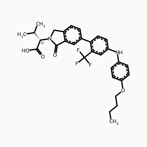 CCCCOc1ccc(Nc2ccc(-c3ccc4c(c3)C(=O)N([C@H](C(=O)O)C(C)C)C4)c(C(F)(F)F)c2)cc1